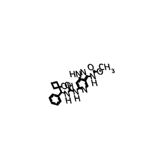 COC(=O)Nc1n[nH]c2cc(NC(=O)N[C@@H](c3ccccc3)C3(O)CCC3)ncc12